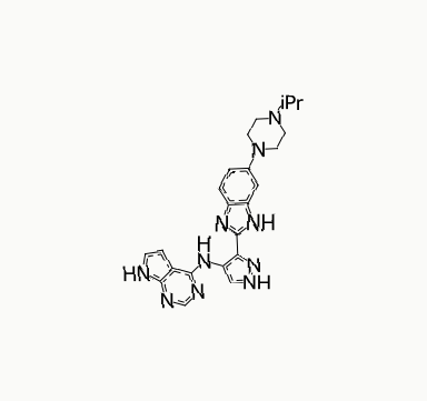 CC(C)N1CCN(c2ccc3nc(-c4n[nH]cc4Nc4ncnc5[nH]ccc45)[nH]c3c2)CC1